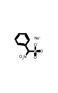 O=[N+]([O-])C(c1ccccc1)S(=O)(=O)[O-].[Na+]